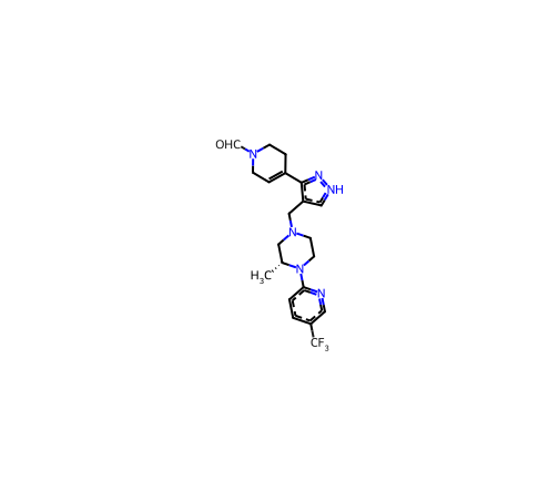 C[C@@H]1CN(Cc2c[nH]nc2C2=CCN(C=O)CC2)CCN1c1ccc(C(F)(F)F)cn1